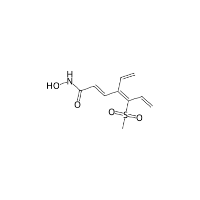 C=CC(/C=C/C(=O)NO)=C(\C=C)S(C)(=O)=O